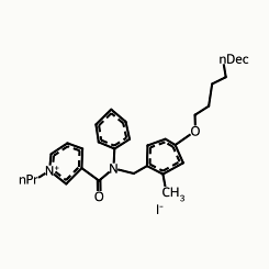 CCCCCCCCCCCCCCOc1ccc(CN(C(=O)c2ccc[n+](CCC)c2)c2ccccc2)c(C)c1.[I-]